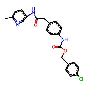 Cc1ccc(NC(=O)Cc2ccc(NC(=O)OCc3ccc(Cl)cc3)cc2)cn1